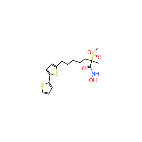 CC(CCCCCc1ccc(-c2cccs2)s1)(C(=O)NO)S(C)(=O)=O